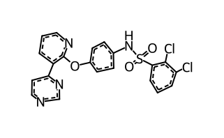 O=S(=O)(Nc1ccc(Oc2ncccc2-c2ccncn2)cc1)c1cccc(Cl)c1Cl